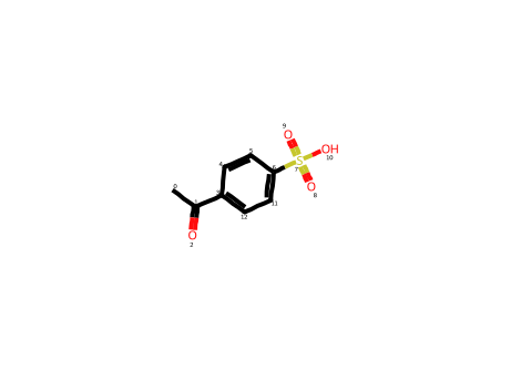 CC(=O)c1ccc(S(=O)(=O)O)cc1